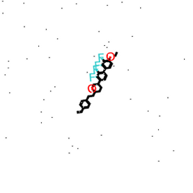 C=Cc1ccc(CCC2CCC(c3ccc(-c4ccc(OCC)c(F)c4F)c(F)c3F)CO2)cc1